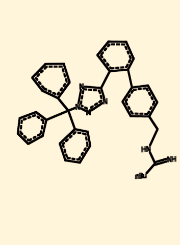 CCCCC(=N)NCc1ccc(-c2ccccc2-c2nnn(C(c3ccccc3)(c3ccccc3)c3ccccc3)n2)cc1